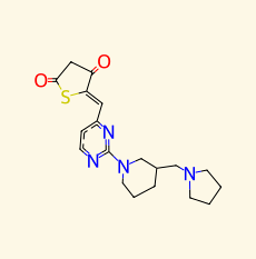 O=C1CC(=O)/C(=C/c2ccnc(N3CCCC(CN4CCCC4)C3)n2)S1